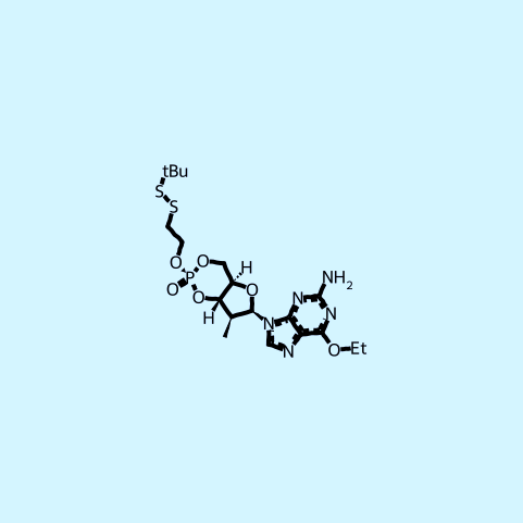 CCOc1nc(N)nc2c1ncn2[C@@H]1O[C@@H]2CO[P@](=O)(OCCSSC(C)(C)C)O[C@H]2[C@@H]1C